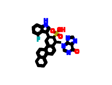 CC1c2ccc3c4c(ccc3c2=CC(c2c[nH]c3cccc(F)c23)C1S(=O)(=O)O)CC=CC=4.O=C1N=CN=C2N=CN=C12